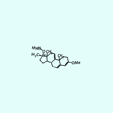 CNO[C@@]1(C)CCC2C3CC=C4C=C(OC)CCC4(C)C3=CCC21C